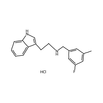 Cc1cc(F)cc(CNCCc2c[nH]c3ccccc23)c1.Cl